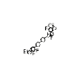 CCOc1ccc(C2CCC(C3CCC(CCC(F)(F)Oc4cc(F)c(C(F)(F)F)c(F)c4)CC3)CC2)c(F)c1F